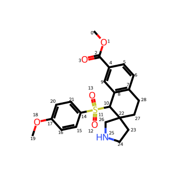 COC(=O)c1ccc2c(c1)C(S(=O)(=O)c1ccc(OC)cc1)C1(CCNC1)CC2